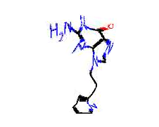 Nc1nc2c(ncn2CCc2ccccn2)c(=O)[nH]1